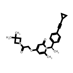 Cc1cc(OCC(=O)N2CC(C)(C)C2)cc(=O)n1[C@H](C)c1ccc(C#CC2CC2)cc1